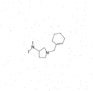 IN(I)C1CCN(CC2=CCCCC2)C1